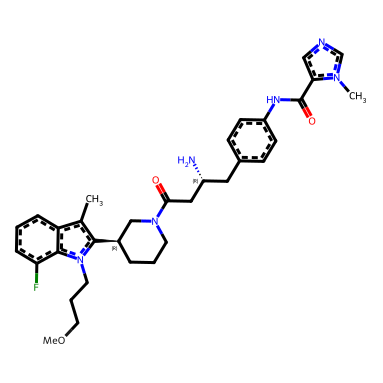 COCCCn1c([C@@H]2CCCN(C(=O)C[C@H](N)Cc3ccc(NC(=O)c4cncn4C)cc3)C2)c(C)c2cccc(F)c21